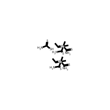 C[CH]=[Zn]([CH3])([CH3])([C](N)=S)[C](N)=S.C[CH]=[Zn]([CH3])([CH3])([C](N)=S)[C](N)=S.NC(=S)S